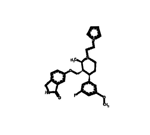 COc1cc(F)cc([C@@H]2CCN(CCn3cccc3)[C@H](C)[C@H]2COc2ccc3c(c2)C(=O)NC3)c1